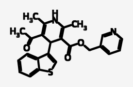 CC(=O)C1=C(C)NC(C)=C(C(=O)OCc2cccnc2)C1c1csc2ccccc12